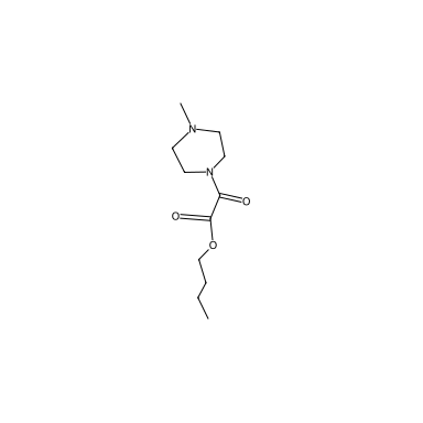 CCCCOC(=O)C(=O)N1CCN(C)CC1